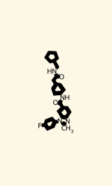 Cc1nc2ccc(C(=O)Nc3ccc(CC(=O)NCC4CCCCC4)cc3)cc2n1-c1ccc(F)cc1